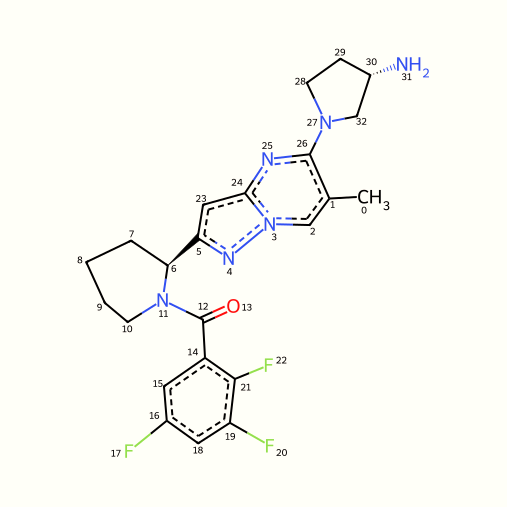 Cc1cn2nc([C@@H]3CCCCN3C(=O)c3cc(F)cc(F)c3F)cc2nc1N1CC[C@H](N)C1